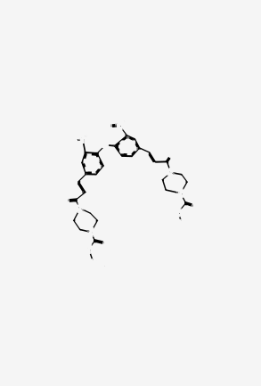 CNC(=O)N1CCN(C(=O)C=Cc2ccc(Sc3ccc(C=CC(=O)N4CCN(C(=O)NC)CC4)cc3[N+](=O)[O-])c([N+](=O)[O-])c2)CC1